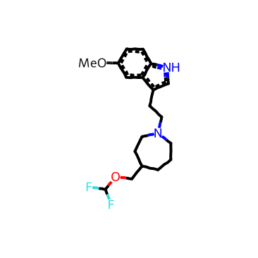 COc1ccc2[nH]cc(CCN3CCCC(COC(F)F)CC3)c2c1